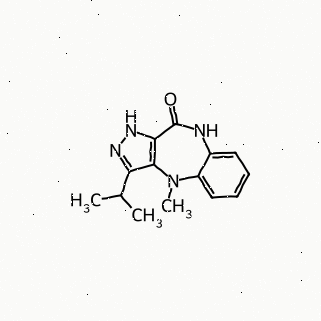 CC(C)c1n[nH]c2c1N(C)c1ccccc1NC2=O